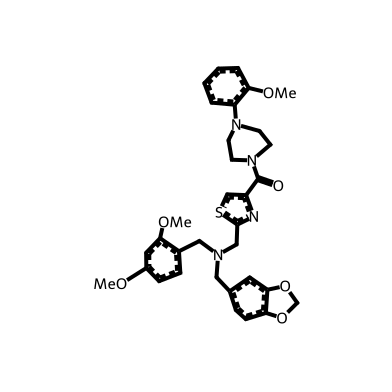 COc1ccc(CN(Cc2ccc3c(c2)OCO3)Cc2nc(C(=O)N3CCN(c4ccccc4OC)CC3)cs2)c(OC)c1